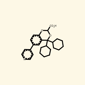 O=C(O)C1Oc2ccc(-c3ccncc3)cc2C(C2CCCCC2)(C2CCCCC2)O1